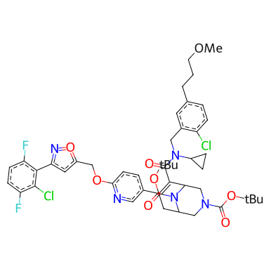 COCCCc1ccc(Cl)c(CN(C(=O)C2=C(c3ccc(OCc4cc(-c5c(F)ccc(F)c5Cl)no4)nc3)CC3CN(C(=O)OC(C)(C)C)CC2N3C(=O)OC(C)(C)C)C2CC2)c1